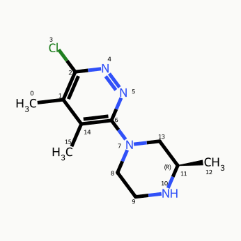 Cc1c(Cl)nnc(N2CCN[C@H](C)C2)c1C